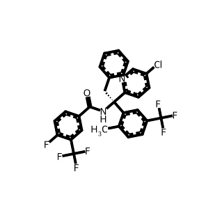 Cc1ccc(C(F)(F)F)cc1[C@@](Cc1ccccc1)(NC(=O)c1ccc(F)c(C(F)(F)F)c1)c1ccc(Cl)cn1